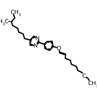 CCCCCCCCC/C=C/Oc1ccc(-c2ncc(CCCCC[C@@H](C)CC)cn2)cc1